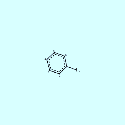 Ic1[c]cc[c]c1